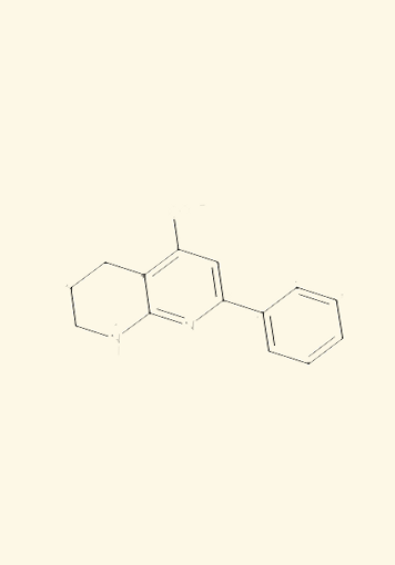 CCOC(=O)c1cc(-c2ccccc2)nc2c1CCCN2